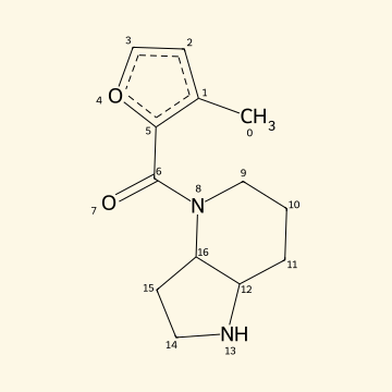 Cc1ccoc1C(=O)N1CCCC2NCCC21